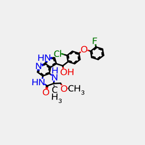 COC[C@]1(C)Nc2c(cnc3[nH]cc(C(O)c4ccc(Oc5ccccc5F)cc4Cl)c23)NC1=O